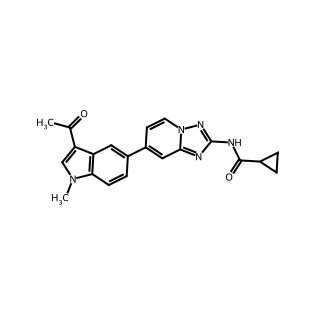 CC(=O)c1cn(C)c2ccc(-c3ccn4nc(NC(=O)C5CC5)nc4c3)cc12